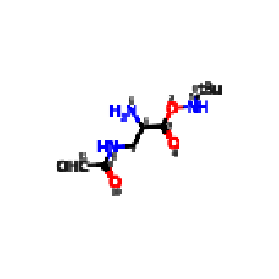 CC(C)(C)NOC(=O)C(N)CNC(=O)C=O